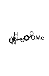 COC(=O)c1ccc(OCCNc2ncccn2)cc1